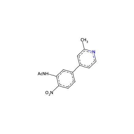 CC(=O)Nc1cc(-c2ccnc(C)c2)ccc1[N+](=O)[O-]